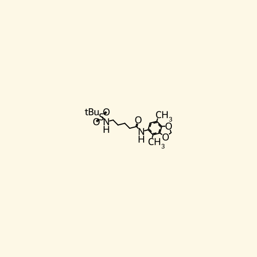 Cc1cc(NC(=O)CCCCNS(=O)(=O)C(C)(C)C)c(C)c2c1OCO2